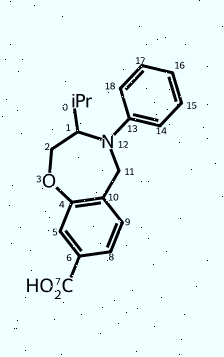 CC(C)C1COc2cc(C(=O)O)ccc2CN1c1ccccc1